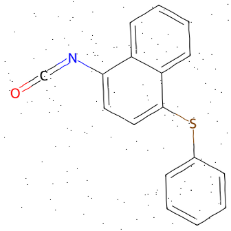 O=C=Nc1ccc(Sc2ccccc2)c2ccccc12